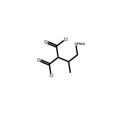 CCCCCCCC(C)C(C(=O)Cl)C(=O)Cl